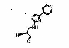 N#CC(C=O)CNc1nc(-c2ccncc2)cs1